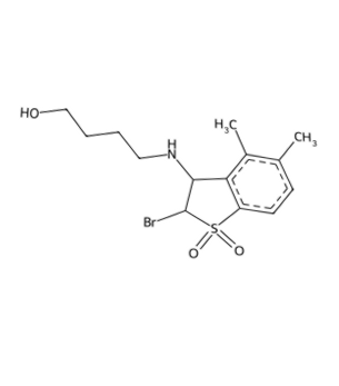 Cc1ccc2c(c1C)C(NCCCCO)C(Br)S2(=O)=O